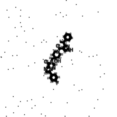 CC(c1ccccc1)c1n[nH]cc1C(=O)N1CCC(O)(Cn2cnn3c(-c4ccc(F)cc4)cnc3c2=O)CC1